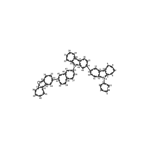 c1ccc(-n2c3ccccc3c3cc(-c4ccc5c6ccccc6n(-c6ccc7ccc(-c8ccc9oc%10ccccc%10c9c8)cc7c6)c5c4)ccc32)cc1